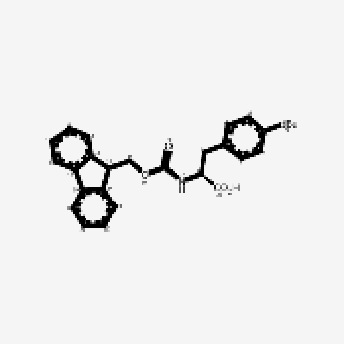 CC(C)(C)c1ccc(C[C@H](NC(=O)OCC2c3ccccc3-c3ccccc32)C(=O)O)cc1